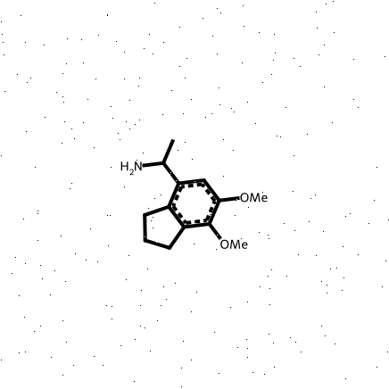 COc1cc(C(C)N)c2c(c1OC)CCC2